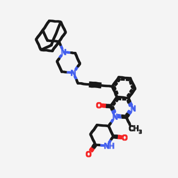 Cc1nc2cccc(C#CCN3CCN(C45CC6CC(CC(C6)C4)C5)CC3)c2c(=O)n1C1CCC(=O)NC1=O